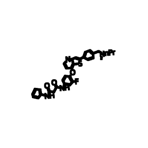 CCCN(C)Cc1ccc(-c2cc3nccc(Oc4ccc(NC(=O)CC(=O)Nc5ccccc5)cc4F)c3s2)cc1